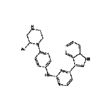 CC(=O)C1CNCCN1c1ccc(Nc2nccc(-c3c[nH]c4ccccc34)n2)cc1